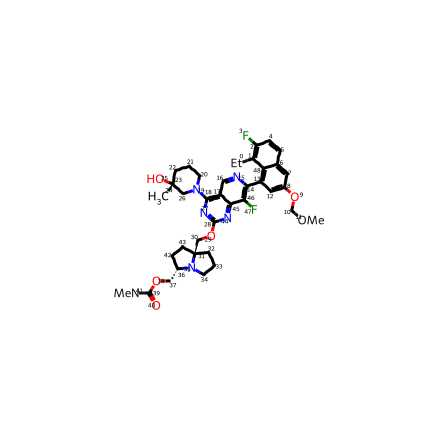 CCc1c(F)ccc2cc(OCOC)cc(-c3ncc4c(N5CCC[C@@](C)(O)C5)nc(OC[C@@]56CCCN5[C@H](COC(=O)NC)CC6)nc4c3F)c12